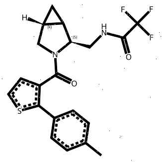 Cc1ccc(-c2sccc2C(=O)N2C[C@@H]3CC3[C@H]2CNC(=O)C(F)(F)F)cc1